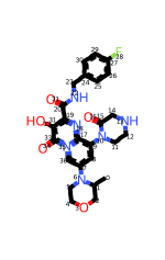 CC1COCCN1c1cc(N2CCNCC2=O)c2nc(C(=O)NCc3ccc(F)cc3)c(O)c(=O)n2c1